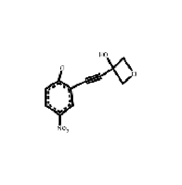 O=[N+]([O-])c1ccc(Cl)c(C#CC2(O)COC2)c1